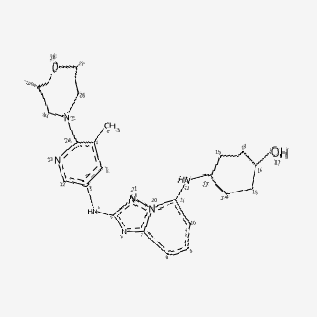 Cc1cc(Nc2nc3cccc(NC4CCC(O)CC4)n3n2)cnc1N1CCOCC1